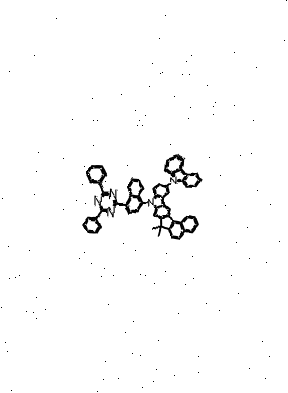 CC1(C)c2cc3c(cc2-c2c1ccc1ccccc21)c1cc(-n2c4ccccc4c4ccccc42)ccc1n3-c1ccc(-c2nc(-c3ccccc3)nc(-c3ccccc3)n2)c2ccccc12